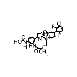 C[C@@H]1CCC[C@H](N2CCC(c3c(F)ccc(Cl)c3F)=CC2=O)c2nc(c[nH]2)-c2ccc(NC(=O)O)cc2NC1=O